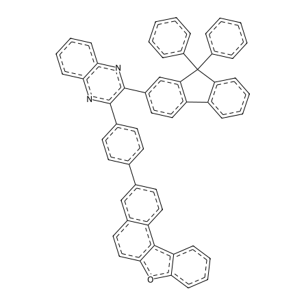 c1ccc(C2(c3ccccc3)c3ccccc3-c3ccc(-c4nc5ccccc5nc4-c4ccc(-c5ccc6c(ccc7oc8ccccc8c76)c5)cc4)cc32)cc1